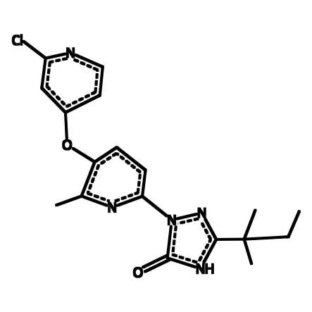 CCC(C)(C)c1nn(-c2ccc(Oc3ccnc(Cl)c3)c(C)n2)c(=O)[nH]1